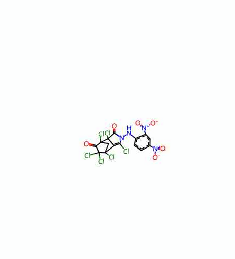 O=C1C(Cl)(Cl)C2(Cl)CC1(Cl)C1(Cl)C(=O)N(Nc3ccc([N+](=O)[O-])cc3[N+](=O)[O-])C(Cl)=C21